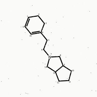 C1=CCCC(CCN2CC3CCCC3C2)=C1